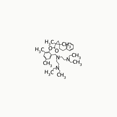 CCN(CC)CCN(CCN(CC)CC)Cc1cc(C)cc(C)c1OC(=O)C1(C)CC1(C)CCc1ccccc1